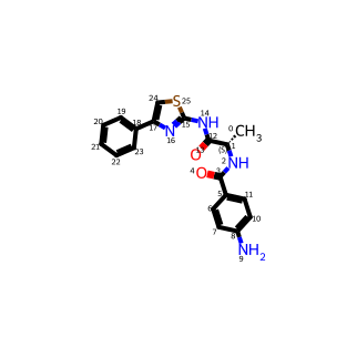 C[C@H](NC(=O)c1ccc(N)cc1)C(=O)Nc1nc(-c2ccccc2)cs1